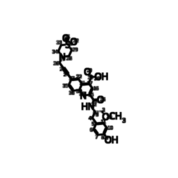 COC[C@H](Cc1ccc(O)cc1)NC(=O)c1cc(C(=O)O)c2cc(C#CCN3CCS(=O)(=O)CC3)ccc2n1